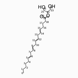 CCCCCC=CCC=CCC=CCC=CCCCC(=O)OC(CO)CO